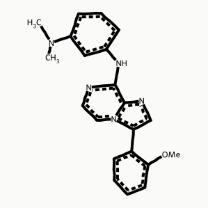 COc1ccccc1-c1cnc2c(Nc3cccc(N(C)C)c3)nccn12